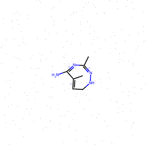 CC1=N/NC/C=C(C)/C(N)=N\1